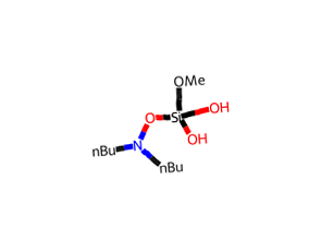 CCCCN(CCCC)O[Si](O)(O)OC